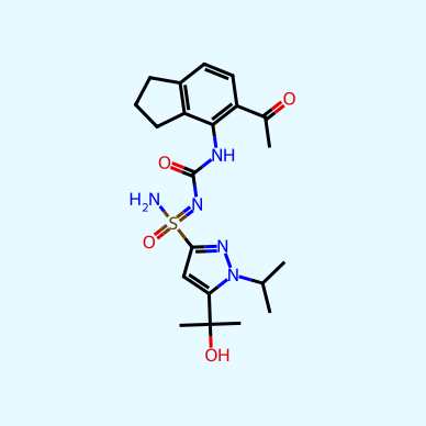 CC(=O)c1ccc2c(c1NC(=O)N=S(N)(=O)c1cc(C(C)(C)O)n(C(C)C)n1)CCC2